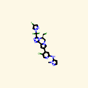 Cn1nccc1Nc1cc(-c2cc3n(c2)C[C@H](CF)n2c-3nnc2C(F)(F)n2cc(F)cn2)c(Cl)cn1